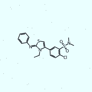 CCn1c(-c2ccc(Cl)c(S(=O)(=O)N(C)C)c2)csc1=Nc1ccccc1